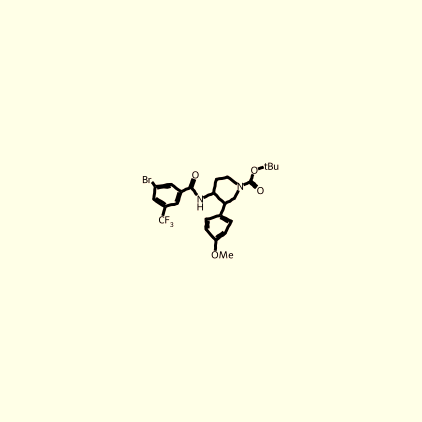 COc1ccc(C2CN(C(=O)OC(C)(C)C)CCC2NC(=O)c2cc(Br)cc(C(F)(F)F)c2)cc1